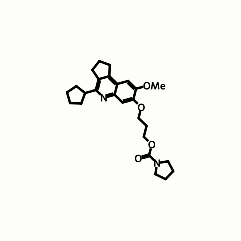 COc1cc2c3c(c(C4CCCC4)nc2cc1OCCCOC(=O)N1CCCC1)CCC3